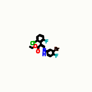 CCOC(=O)C(=CNc1ccc(F)c(Br)c1)c1c(F)cccc1Cl